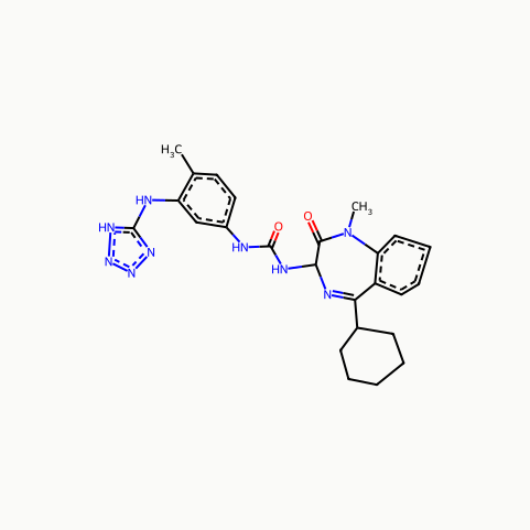 Cc1ccc(NC(=O)NC2N=C(C3CCCCC3)c3ccccc3N(C)C2=O)cc1Nc1nnn[nH]1